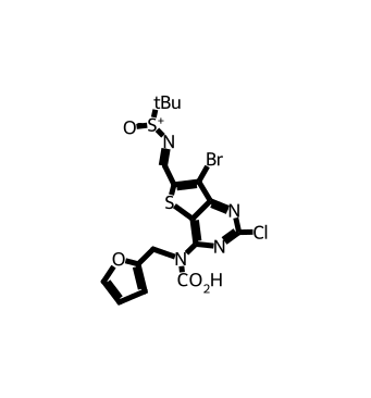 CC(C)(C)[S+]([O-])/N=C/c1sc2c(N(Cc3ccco3)C(=O)O)nc(Cl)nc2c1Br